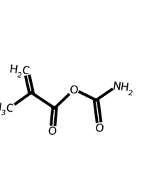 C=C(C)C(=O)OC(N)=O